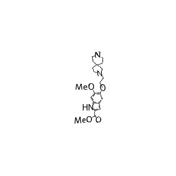 COC(=O)c1cc2cc(OCCN3CCC4(CCN(C)CC4)C3)c(OC)cc2[nH]1